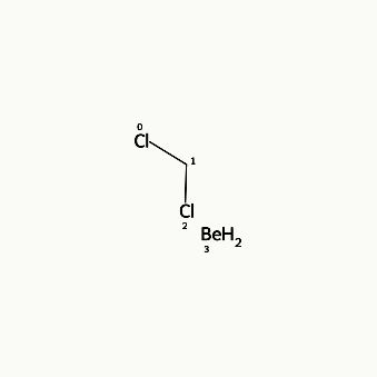 ClCCl.[BeH2]